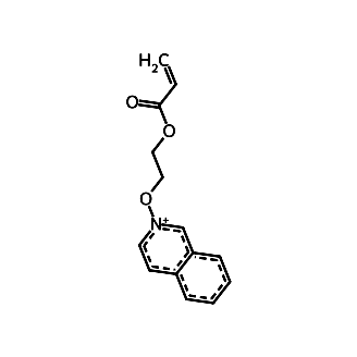 C=CC(=O)OCCO[n+]1ccc2ccccc2c1